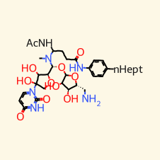 CCCCCCCc1ccc(NC(=O)CCC(NC(C)=O)N(C)[C@H](OC2O[C@H](CN)[C@@H](O)[C@H]2O)[C@H]2OCC(O)(n3ccc(=O)[nH]c3=O)C2O)cc1